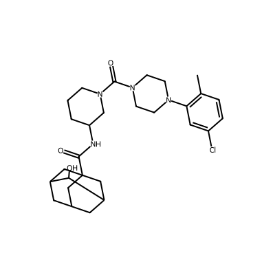 Cc1ccc(Cl)cc1N1CCN(C(=O)N2CCCC(NC(=O)C34CC5CC(C3)C(O)C(C5)C4)C2)CC1